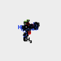 CCN1CCN(C(=O)CN/C=C(/NC(=O)c2cnn3cccnc23)C(=N)c2cc3cn[nH]c3cc2OC(F)F)CC1